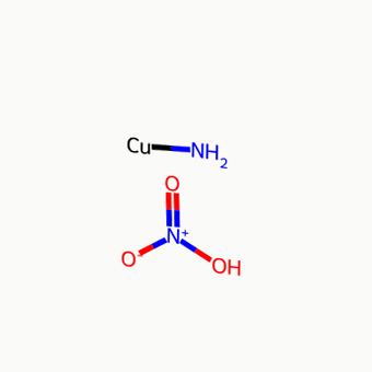 O=[N+]([O-])O.[NH2][Cu]